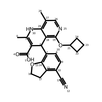 CC1=C(C(=O)O)C(c2ccc(C#N)c3c2OCC3)c2c(OC3CCC3)ncc(C)c2N1